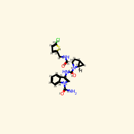 NC(=O)n1cc(NC(=O)N2[C@@H]3CC3C[C@H]2C(=O)NCc2ccc(Cl)s2)c2ccccc21